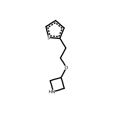 c1csc(CCOC2CNC2)c1